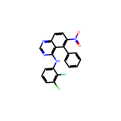 O=[N+]([O-])c1ccc2ncnc(Nc3cccc(Cl)c3F)c2c1-c1ccccc1